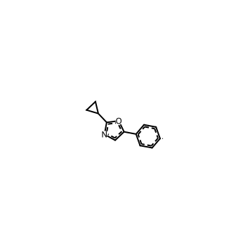 [c]1ccc(-c2cnc(C3CC3)o2)cc1